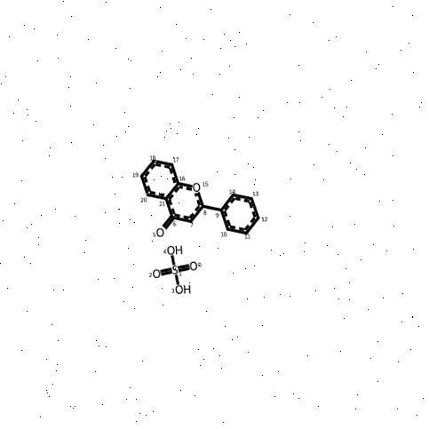 O=S(=O)(O)O.O=c1cc(-c2ccccc2)oc2ccccc12